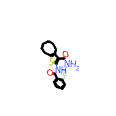 NC(=O)c1c(NC(=O)c2ccccc2F)sc2c1CCCCCC2